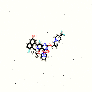 C#Cc1c(F)ccc2cc(O)cc(-c3nc(OC(C)C)c4c(N5CC6CCC(C5)N6C(=O)O)nc(OCC5(CN6CCC(=C(F)F)CC6)CC5)nc4c3F)c12